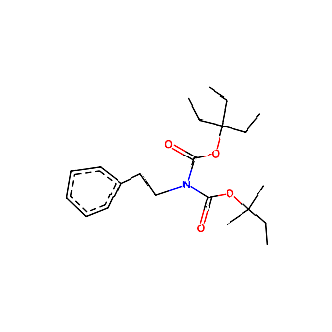 CCC(C)(C)OC(=O)N(CCc1ccccc1)C(=O)OC(CC)(CC)CC